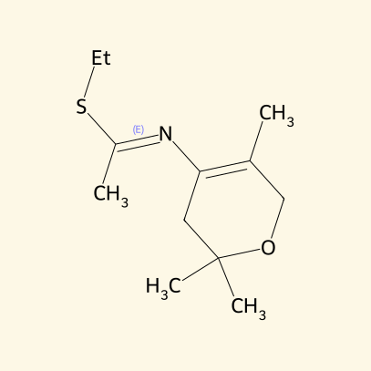 CCS/C(C)=N/C1=C(C)COC(C)(C)C1